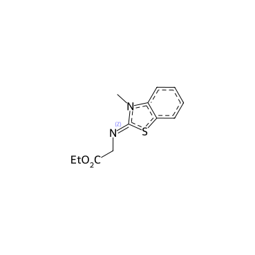 CCOC(=O)C/N=c1\sc2ccccc2n1C